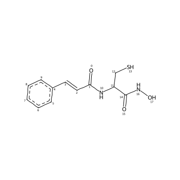 O=C(C=Cc1ccccc1)NC(CS)C(=O)NO